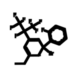 CCC1=CC(C(F)(C(F)(F)F)C(F)(F)F)=CC(Br)(c2ccccc2F)[CH]1